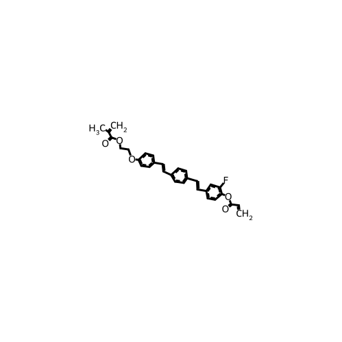 C=CC(=O)Oc1ccc(/C=C/c2ccc(/C=C/c3ccc(OCCOC(=O)C(=C)C)cc3)cc2)cc1F